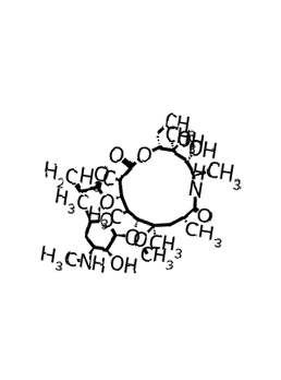 C=CC(=O)O[C@H]1[C@H](C)[C@@H](O[C@@H]2O[C@H](C)C[C@H](NC)[C@@H]2O)[C@](C)(OC)C[C@@H](C)C(=O)N[C@H](C)[C@@H](O)[C@](C)(O)[C@@H](CC)OC(=O)[C@@H]1C